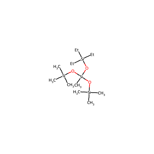 CC[Si](CC)(CC)O[Si](C)(O[Si](C)(C)C)O[Si](C)(C)C